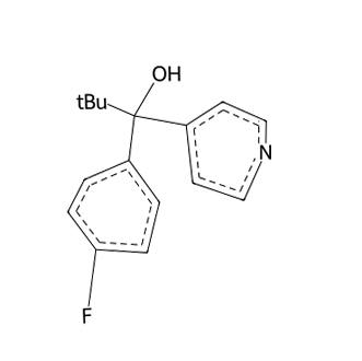 CC(C)(C)C(O)(c1ccncc1)c1ccc(F)cc1